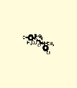 Cc1cc(Cl)ccc1NC(=O)C(=NO)C(=O)Nc1ccc(Cl)cc1C